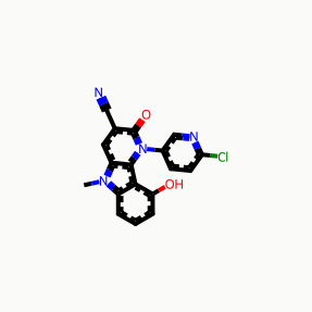 Cn1c2cccc(O)c2c2c1cc(C#N)c(=O)n2-c1ccc(Cl)nc1